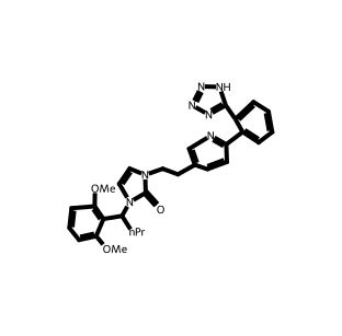 CCCC(c1c(OC)cccc1OC)n1ccn(CCc2ccc(-c3ccccc3-c3nnn[nH]3)nc2)c1=O